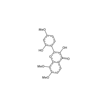 COc1ccc(-c2oc3c(OC)c(OC)ccc3c(=O)c2O)c(O)c1